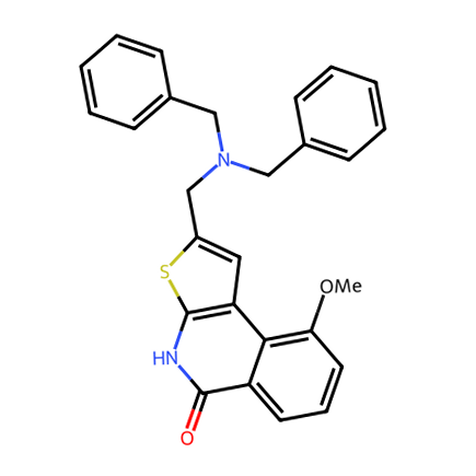 COc1cccc2c(=O)[nH]c3sc(CN(Cc4ccccc4)Cc4ccccc4)cc3c12